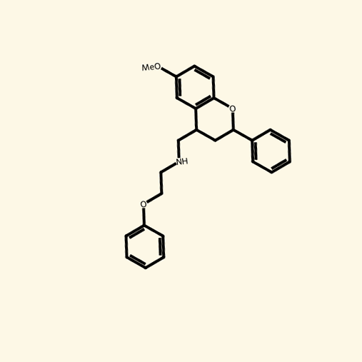 COc1ccc2c(c1)C(CNCCOc1ccccc1)CC(c1ccccc1)O2